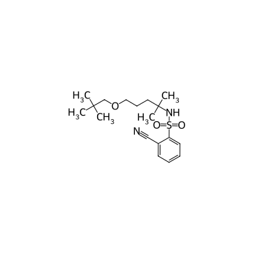 CC(C)(C)COCCCC(C)(C)NS(=O)(=O)c1ccccc1C#N